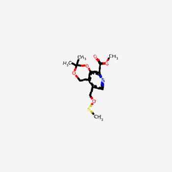 COC(=O)c1ncc(COSC)c2c1OC(C)(C)OC2